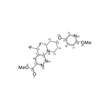 COC(=O)c1cc(C(F)F)c(N2CCC(Oc3ccc(OC)nc3)CC2)nn1